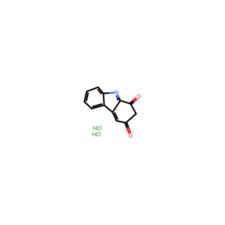 Cl.Cl.O=C1C=C2C(=Nc3ccccc32)C(=O)C1